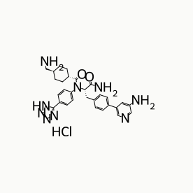 Cl.NC[C@H]1CC[C@H](C(=O)N(c2ccc(-c3nnn[nH]3)cc2)[C@@H](Cc2ccc(-c3cncc(N)c3)cc2)C(N)=O)CC1